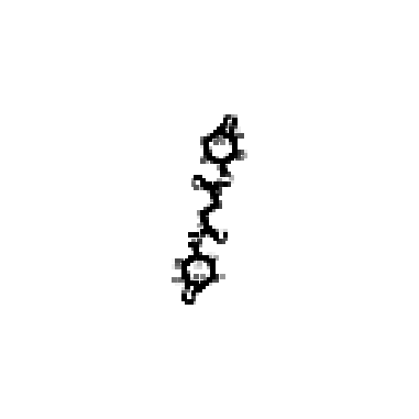 O=C(CCC(=O)OC1CCC2OC2C1)OC1CCC2OC2C1